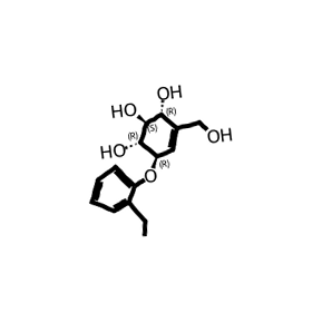 CCc1ccccc1O[C@@H]1C=C(CO)[C@@H](O)[C@H](O)[C@H]1O